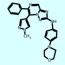 Cn1cc(-c2c(-c3ccccc3)ncc3nc(Nc4ccc(N5CCOCC5)cc4)nn23)cn1